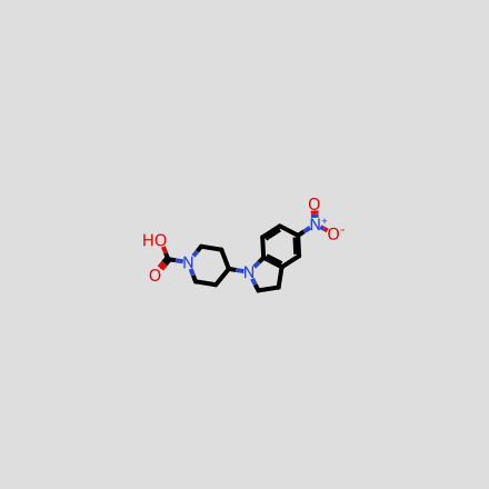 O=C(O)N1CCC(N2CCc3cc([N+](=O)[O-])ccc32)CC1